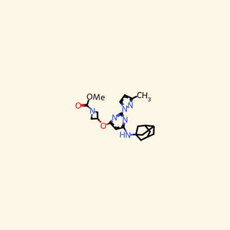 COC(=O)N1CC(Oc2cc(NC34CC5CC(C3)C(C5)C4)nc(-n3ccc(C)n3)n2)C1